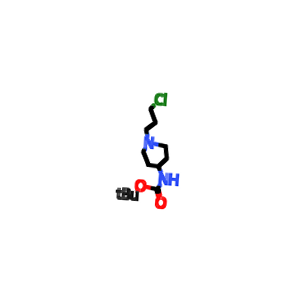 CC(C)(C)OC(=O)NC1CCN(CCCCl)CC1